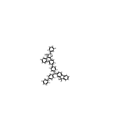 CC1(C)c2ccccc2-c2ccc(N(c3ccc(-c4ccccc4)cc3)c3ccc(-c4ccc5c6c(c7ccccc7c5c4)NC(c4ccccc4)O6)cc3)cc21